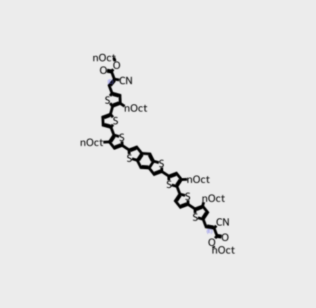 CCCCCCCCOC(=O)/C(C#N)=C/c1cc(CCCCCCCC)c(-c2ccc(-c3sc(-c4cc5cc6sc(-c7cc(CCCCCCCC)c(-c8ccc(-c9sc(/C=C(\C#N)C(=O)OCCCCCCCC)cc9CCCCCCCC)s8)s7)cc6cc5s4)cc3CCCCCCCC)s2)s1